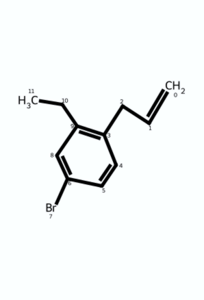 C=CCc1ccc(Br)cc1CC